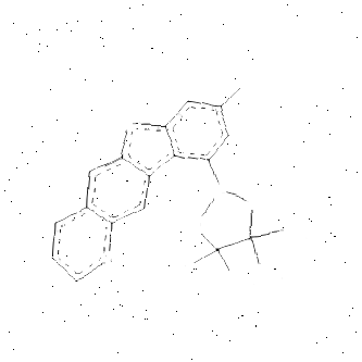 CC1(C)OB(c2cc(Cl)cc3oc4cc5cccnc5cc4c23)OC1(C)C